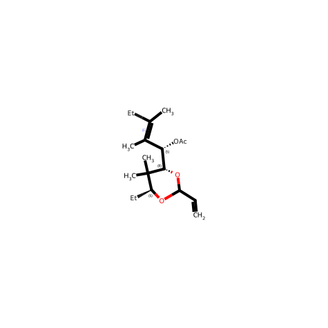 C=CC1O[C@@H](CC)C(C)(C)[C@H]([C@@H](OC(C)=O)/C(C)=C(\C)CC)O1